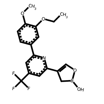 CCOc1cc(-c2cc(C(F)(F)F)cc(C3=COB(O)C3)n2)ccc1OC